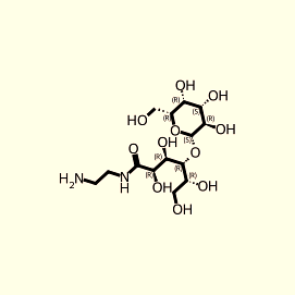 NCCNC(=O)[C@H](O)[C@@H](O)[C@H](O[C@@H]1O[C@H](CO)[C@H](O)[C@H](O)[C@H]1O)[C@H](O)CO